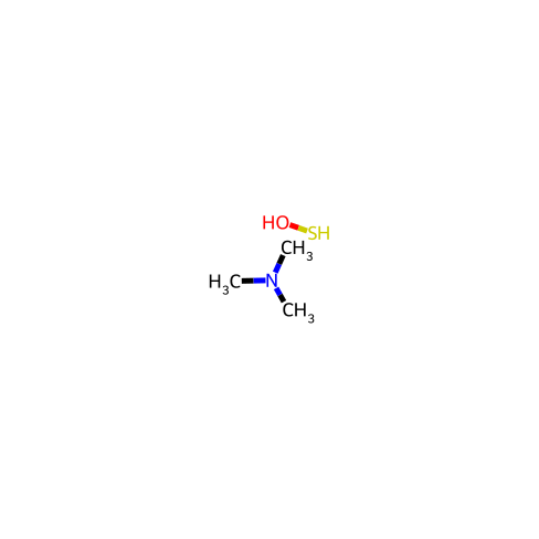 CN(C)C.OS